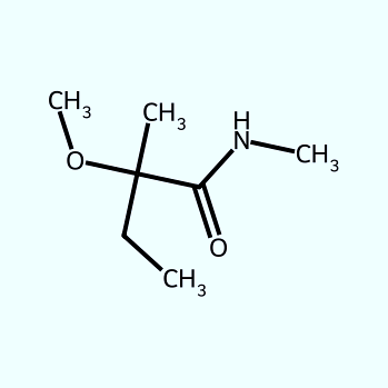 CCC(C)(OC)C(=O)NC